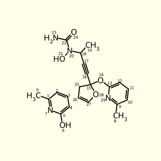 Cc1cccc(O)n1.Cc1cccc(OC2(C#CC(C)N(O)C(N)=O)CC=CO2)n1